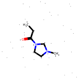 CCC(=O)N1CCN(C)C1